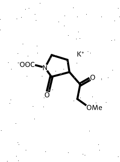 COCC(=O)C1CCN(C(=O)[O-])C1=O.[K+]